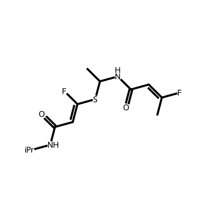 C/C(F)=C\C(=O)NC(C)S/C(F)=C/C(=O)NC(C)C